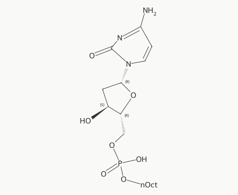 CCCCCCCCOP(=O)(O)OC[C@H]1O[C@@H](n2ccc(N)nc2=O)C[C@@H]1O